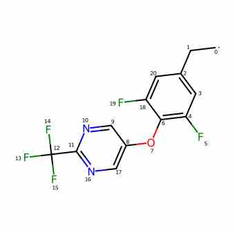 [CH2]Cc1cc(F)c(Oc2cnc(C(F)(F)F)nc2)c(F)c1